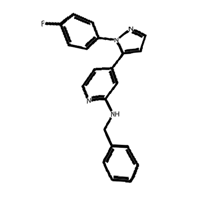 Fc1ccc(-n2nccc2-c2ccnc(NCc3ccccc3)c2)cc1